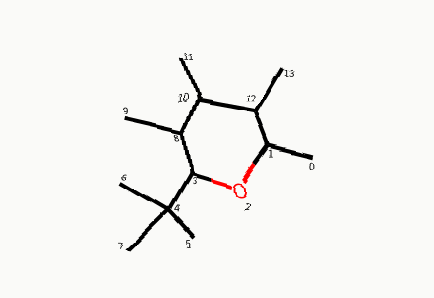 CC1OC(C(C)(C)C)C(C)C(C)C1C